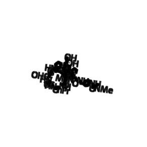 CCCC1NC(=O)CNC(=O)[C@H](NC(=O)C(C[C@@H](O)CO)N(C)C(=O)[C@@H]2CCCN2C(=O)[C@H](CC(=O)NCc2ccc(NC(=O)[C@H](C)NC)cc2)NC)Cc2c([nH]c3ccccc23)[S+]([O-])C[C@@H](C=O)NC(=O)CNC1=O